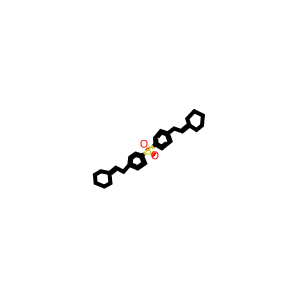 O=S(=O)(c1ccc(CC=C2CCCCC2)cc1)c1ccc(CC=C2CCCCC2)cc1